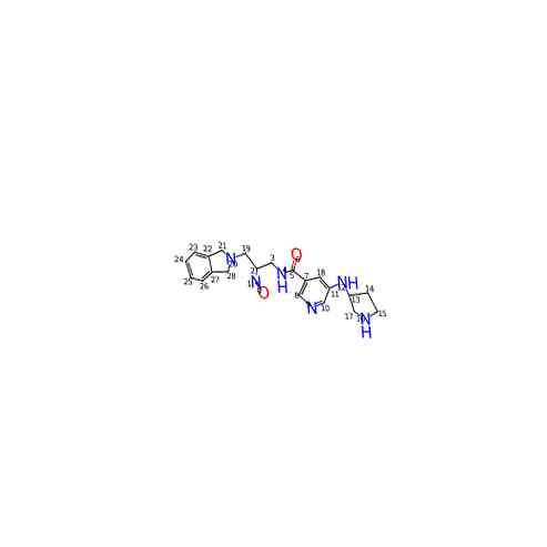 O=NC(CNC(=O)c1cncc(NC2CCNC2)c1)CN1Cc2ccccc2C1